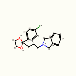 Fc1ccc(C2(CCCN3Cc4ccccc4C3)OCCO2)cc1